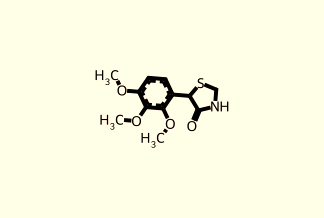 COc1ccc(C2SCNC2=O)c(OC)c1OC